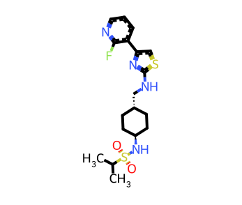 CC(C)S(=O)(=O)N[C@H]1CC[C@H](CNc2nc(-c3cccnc3F)cs2)CC1